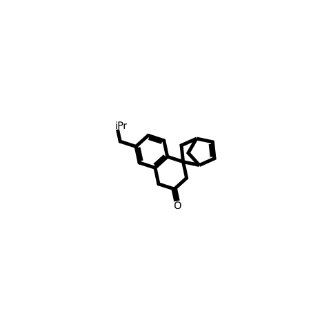 CC(C)Cc1ccc2c(c1)CC(=O)CC21CC2C=CC1C2